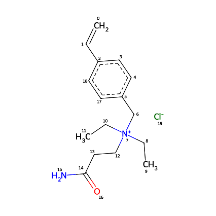 C=Cc1ccc(C[N+](CC)(CC)CCC(N)=O)cc1.[Cl-]